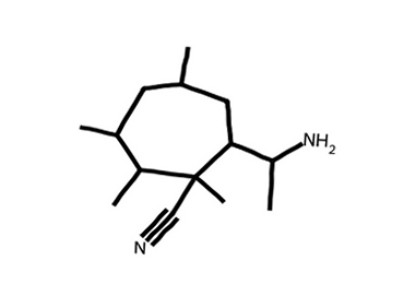 CC1CC(C)C(C)C(C)(C#N)C(C(C)N)C1